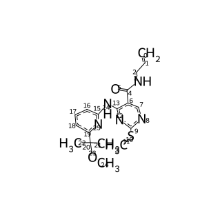 C=CCNC(=O)c1cnc(SC)nc1Nc1cccc(C(C)(C)OC)n1